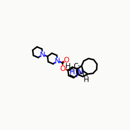 C[C@@]12CCCCCC[C@@H](Cc3ccc(OC(=O)N4CCC(N5CCCCC5)CC4)cc31)[C@@H]2N